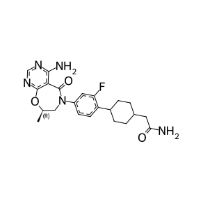 C[C@@H]1CN(c2ccc(C3CCC(CC(N)=O)CC3)c(F)c2)C(=O)c2c(N)ncnc2O1